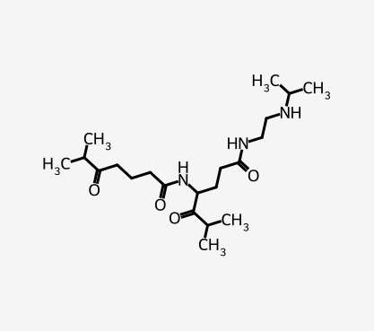 CC(C)NCCNC(=O)CCC(NC(=O)CCCC(=O)C(C)C)C(=O)C(C)C